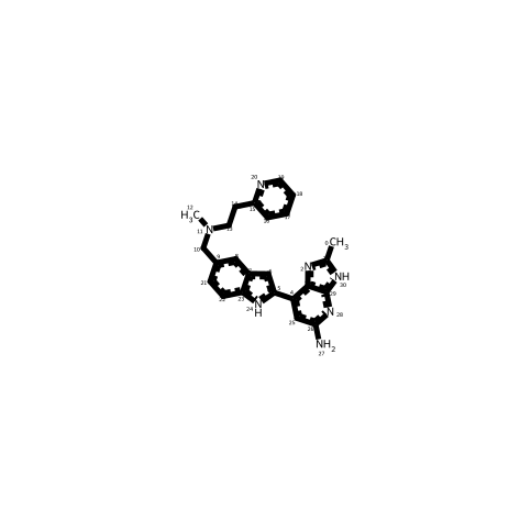 Cc1nc2c(-c3cc4cc(CN(C)CCc5ccccn5)ccc4[nH]3)cc(N)nc2[nH]1